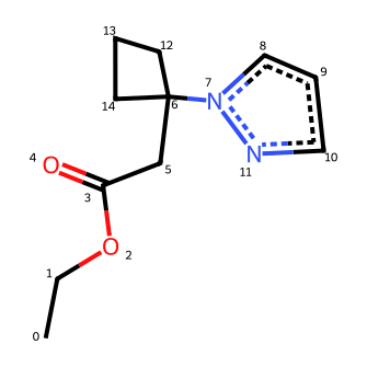 CCOC(=O)CC1(n2cccn2)CCC1